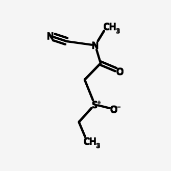 CC[S+]([O-])CC(=O)N(C)C#N